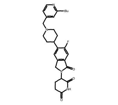 CC(C)(C)c1cc(CN2CCC(c3cc4c(cc3F)C(=O)N(C3CCC(=O)NC3=O)C4)CC2)ccn1